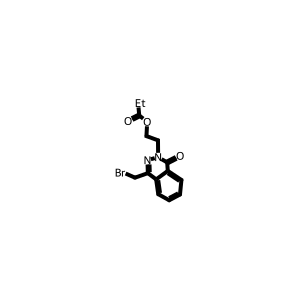 CCC(=O)OCCn1nc(CBr)c2ccccc2c1=O